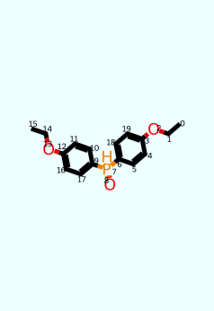 CCOc1ccc([PH](=O)c2ccc(OCC)cc2)cc1